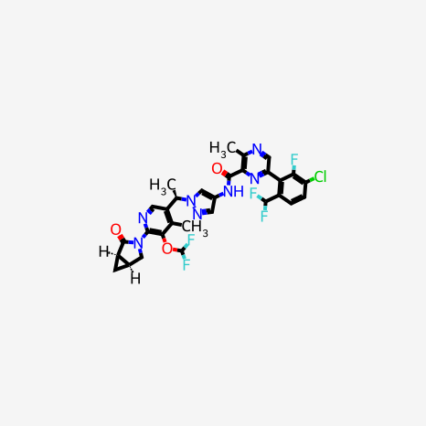 Cc1ncc(-c2c(C(F)F)ccc(Cl)c2F)nc1C(=O)Nc1cnn([C@H](C)c2cnc(N3C[C@H]4C[C@H]4C3=O)c(OC(F)F)c2C)c1